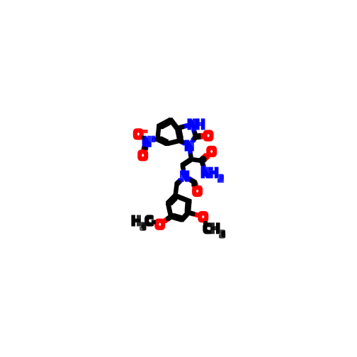 COc1cc(CN(C=O)CC(C(N)=O)n2c(=O)[nH]c3ccc([N+](=O)[O-])cc32)cc(OC)c1